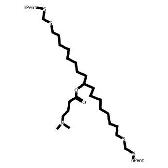 CCCCCSCSCCCCCCCCC(CCCCCCCCSCSCCCCC)OC(=O)CCCN(C)C